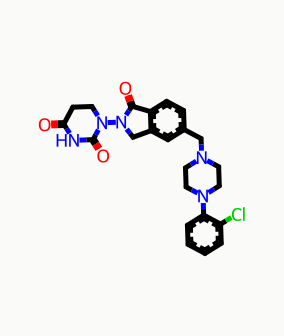 O=C1CCN(N2Cc3cc(CN4CCN(c5ccccc5Cl)CC4)ccc3C2=O)C(=O)N1